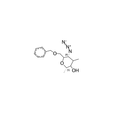 CC1C(O)[C@H](C)OC(COCc2ccccc2)[C@@H]1N=[N+]=[N-]